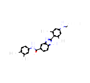 Cc1ccc(NC(=O)c2ccc3[nH]c(-c4c(C)cc(NCC(=O)O)cc4C)nc3c2)cc1C